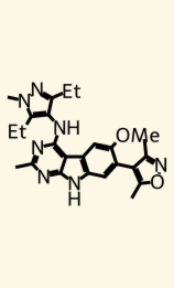 CCc1nn(C)c(CC)c1Nc1nc(C)nc2[nH]c3cc(-c4c(C)noc4C)c(OC)cc3c12